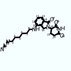 [N-]=[N+]=NCCCCCCNc1cccc2c1CN(C1CCC(=O)NC1=O)C2=O